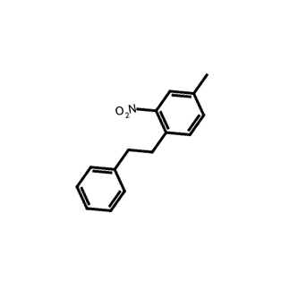 Cc1ccc(CCc2ccccc2)c([N+](=O)[O-])c1